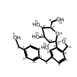 OCc1ccc(Cc2ccc3c(c2)[C@]2(OC3)O[C@H](CO)[C@@H](O)[C@H](O)[C@H]2O)cc1